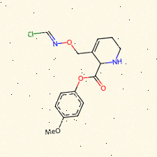 COc1ccc(OC(=O)C2NCCC=C2CON=CCl)cc1